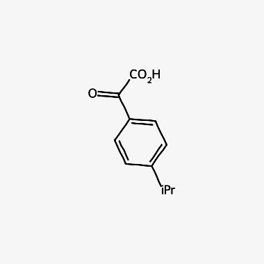 CC(C)c1ccc(C(=O)C(=O)O)cc1